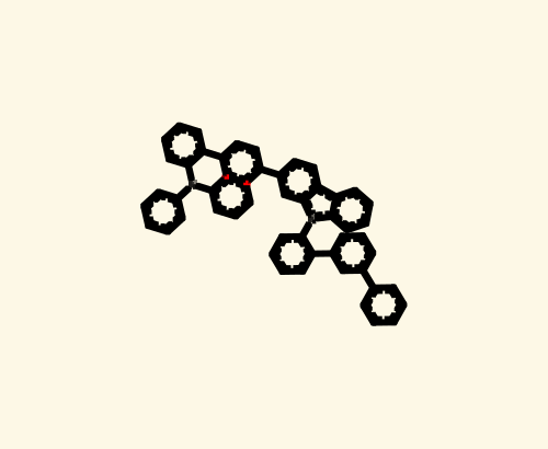 c1ccc(-c2cccc(-c3ccccc3-n3c4ccccc4c4ccc(-c5ccc(-c6ccccc6N(c6ccccc6)c6ccccc6)cc5)cc43)c2)cc1